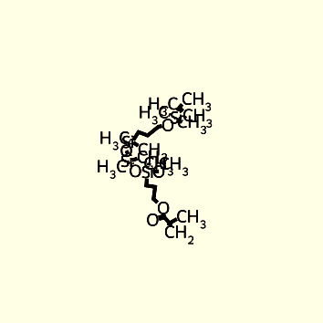 C=C(C)C(=O)OCCC[Si](C)(OC)O[Si](C)(C)O[Si](C)(C)CCCO[Si](C)(C)C(C)(C)C